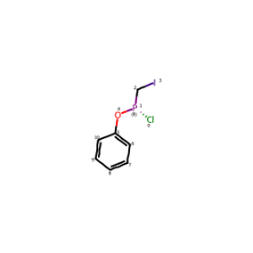 Cl[P@@](CI)Oc1ccccc1